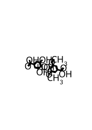 COc1cc(C(=O)O)cc(OC)c1O.O=C(O)c1cc(O)c(O)c(O)c1